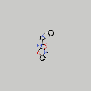 CN1C(=O)C(NC(=O)c2ccn(Cc3ccccc3)c2)COc2ccccc21